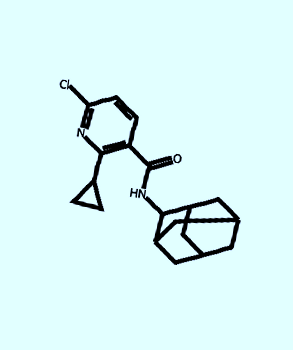 O=C(NC1C2CC3CC(C2)CC1C3)c1ccc(Cl)nc1C1CC1